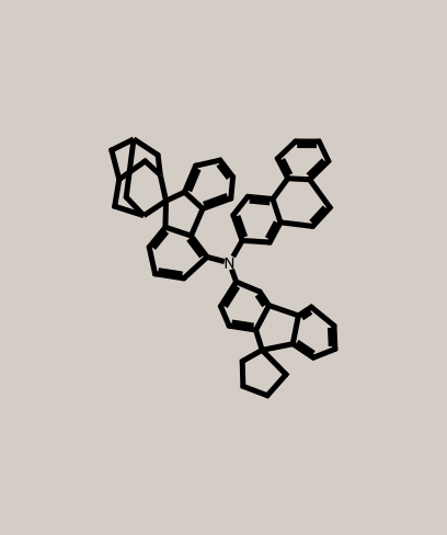 c1ccc2c(c1)-c1cc(N(c3ccc4c(ccc5ccccc54)c3)c3cccc4c3-c3ccccc3C43C4CC5CC(C4)CC3C5)ccc1C21CCCC1